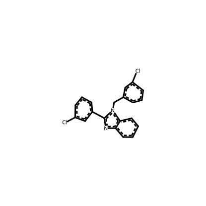 Clc1cccc(Cn2c(-c3cccc(Cl)c3)nc3ccccc32)c1